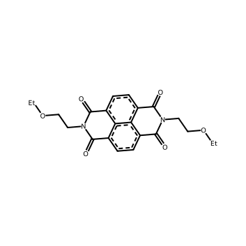 CCOCCN1C(=O)c2ccc3c4c(ccc(c24)C1=O)C(=O)N(CCOCC)C3=O